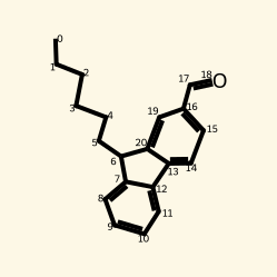 CCCCCCC1c2ccccc2-c2ccc(C=O)cc21